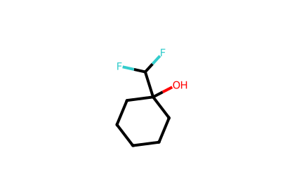 OC1(C(F)F)CCCCC1